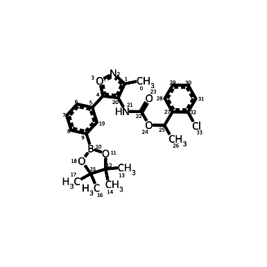 Cc1noc(-c2cccc(B3OC(C)(C)C(C)(C)O3)c2)c1NC(=O)OC(C)c1ccccc1Cl